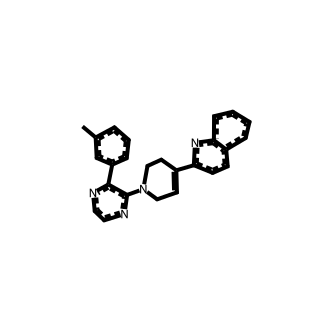 Cc1cccc(-c2nccnc2N2CC=C(c3ccc4ccccc4n3)CC2)c1